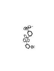 O=C(OC(=O)c1cccc([N+](=O)[O-])c1)c1cccc(Br)c1